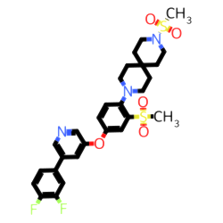 CS(=O)(=O)c1cc(Oc2cncc(-c3ccc(F)c(F)c3)c2)ccc1N1CCC2(CC1)CCN(S(C)(=O)=O)CC2